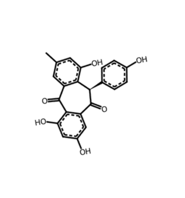 Cc1cc(O)c2c(c1)C(=O)c1c(O)cc(O)cc1C(=O)[C@@H]2c1ccc(O)cc1